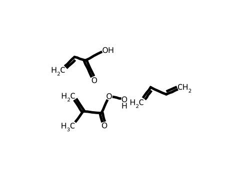 C=C(C)C(=O)OO.C=CC(=O)O.C=CC=C